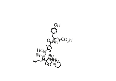 C=CCCN(C(=O)[C@@H](NC(=O)[C@H]1CCCCN1C)C(C)CC)[C@H](C[C@@H](O)c1nc(C(=O)N[C@@H](Cc2ccc(O)cc2)C[C@H](C)C(=O)O)cs1)C(C)C